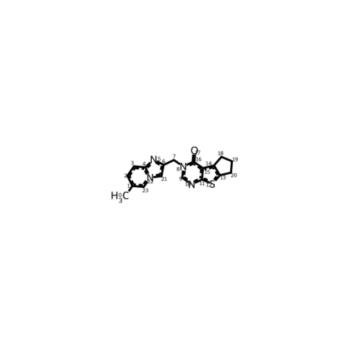 Cc1ccc2nc(Cn3cnc4sc5c(c4c3=O)CCC5)cn2c1